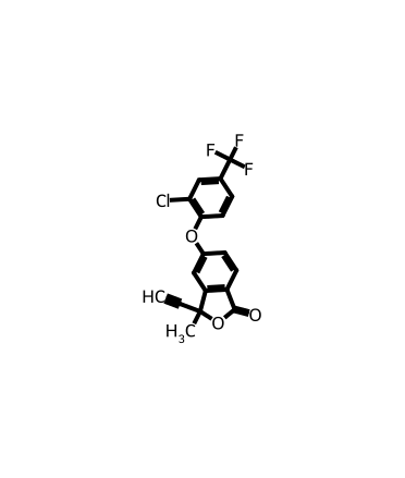 C#CC1(C)OC(=O)c2ccc(Oc3ccc(C(F)(F)F)cc3Cl)cc21